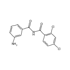 Nc1c[c]cc(C(=O)NC(=O)c2ccc(Cl)cc2Cl)c1